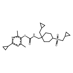 Cc1nc(C2CC2)nc(C)c1OC(=O)NCC1(CC2CC2)CCC(S(=O)(=O)CC2CC2)CC1